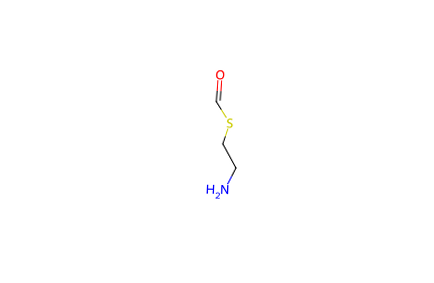 NCCSC=O